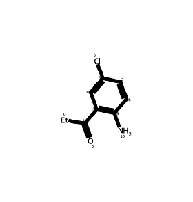 CCC(=O)c1cc(Cl)ccc1N